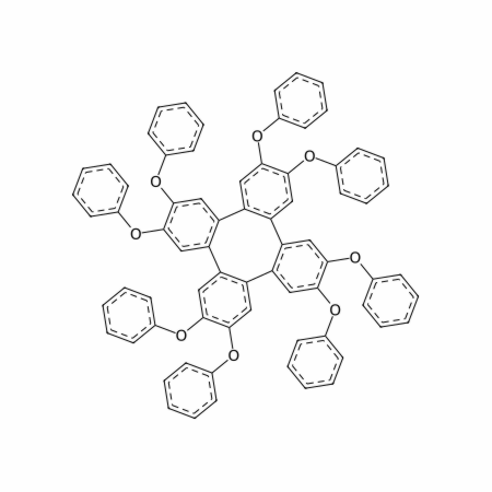 c1ccc(Oc2cc3c(cc2Oc2ccccc2)-c2cc(Oc4ccccc4)c(Oc4ccccc4)cc2-c2cc(Oc4ccccc4)c(Oc4ccccc4)cc2-c2cc(Oc4ccccc4)c(Oc4ccccc4)cc2-3)cc1